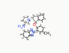 Cc1ccc(O[C@@H]2c3ccccc3C[C@H]2N2CCC[C@@H](N)C2)c(-n2nc3ccccc3n2)c1